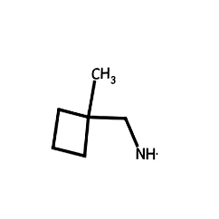 CC1(C[NH])CCC1